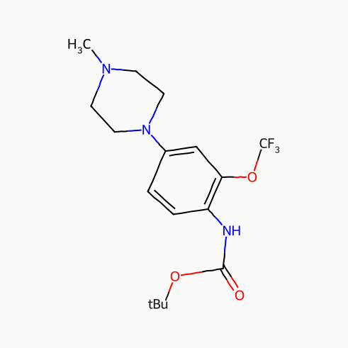 CN1CCN(c2ccc(NC(=O)OC(C)(C)C)c(OC(F)(F)F)c2)CC1